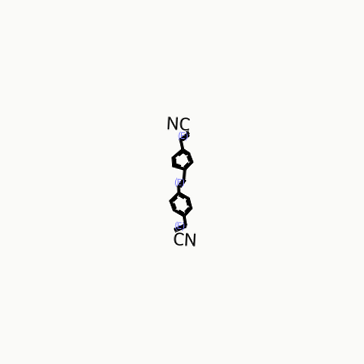 N#C/C=C/c1ccc(/C=C/c2ccc(/C=C/C#N)cc2)cc1